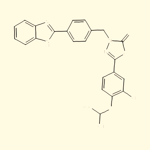 CC(C)Oc1ccc(-c2nn(Cc3ccc(-c4nc5ccccc5[nH]4)cc3)c(=O)o2)cc1Cl